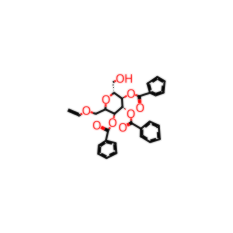 C=COCC1O[C@H](CO)[C@@H](OC(=O)c2ccccc2)[C@H](OC(=O)c2ccccc2)[C@H]1OC(=O)c1ccccc1